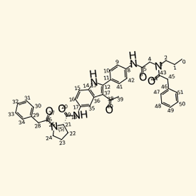 CCCN(CC(=O)Nc1ccc(-c2[nH]c3ccc(NC(=O)[C@@H]4CCCN4C(=O)Cc4ccccc4)cc3c2C(C)=O)cc1)C(=O)Cc1ccccc1